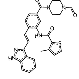 Cc1ccsc1C(=O)Nc1cc(C(=O)N2CCN(C=O)CC2)ccc1C=Cc1n[nH]c2ccccc12